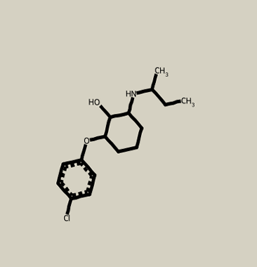 CCC(C)NC1CCCC(Oc2ccc(Cl)cc2)C1O